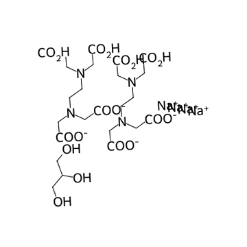 O=C([O-])CN(CCN(CC(=O)O)CC(=O)O)CC(=O)[O-].O=C([O-])CN(CCN(CC(=O)O)CC(=O)O)CC(=O)[O-].OCC(O)CO.[Na+].[Na+].[Na+].[Na+]